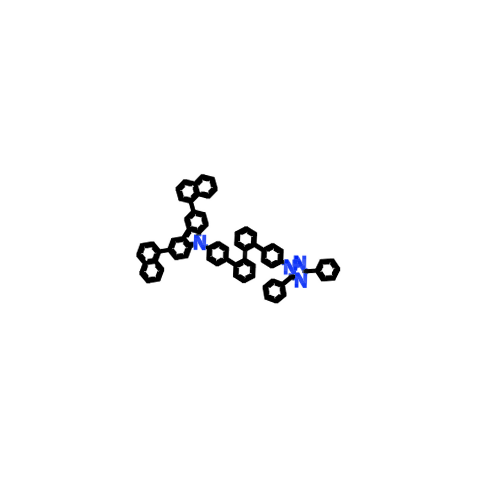 c1ccc(-c2nc(-c3ccccc3)n(-c3ccc(-c4ccccc4-c4ccccc4-c4ccc(-n5c6ccc(-c7cccc8ccccc78)cc6c6cc(-c7cccc8ccccc78)ccc65)cc4)cc3)n2)cc1